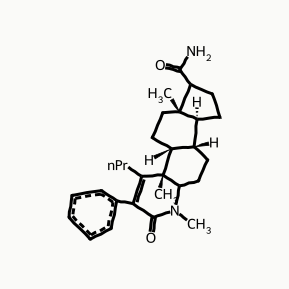 CCCC1=C(c2ccccc2)C(=O)N(C)C2CC[C@@H]3[C@@H](CC[C@]4(C)C(C(N)=O)CC[C@@H]34)[C@@]12C